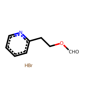 Br.O=COCCc1ccccn1